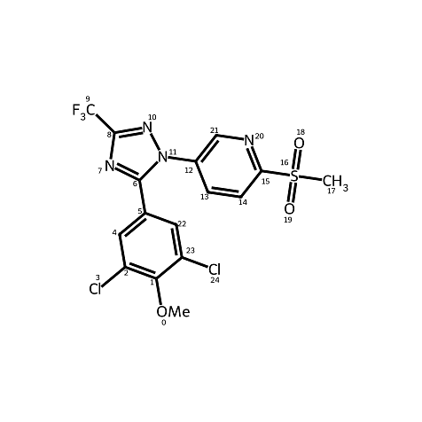 COc1c(Cl)cc(-c2nc(C(F)(F)F)nn2-c2ccc(S(C)(=O)=O)nc2)cc1Cl